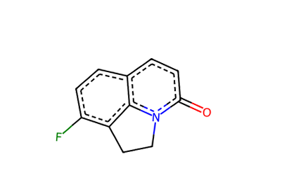 O=c1ccc2ccc(F)c3c2n1CC3